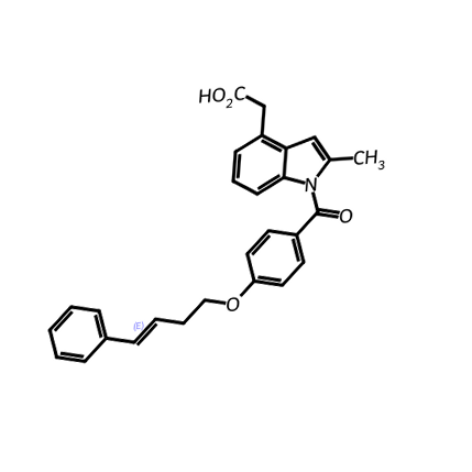 Cc1cc2c(CC(=O)O)cccc2n1C(=O)c1ccc(OCC/C=C/c2ccccc2)cc1